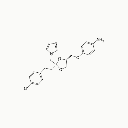 Nc1ccc(OC[C@H]2CO[C@@](CCc3ccc(Cl)cc3)(Cn3ccnc3)O2)cc1